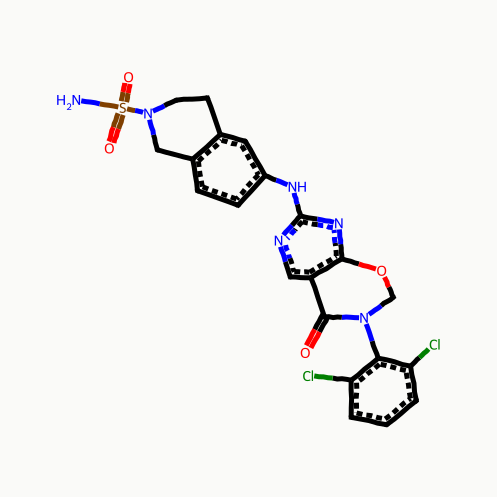 NS(=O)(=O)N1CCc2cc(Nc3ncc4c(n3)OCN(c3c(Cl)cccc3Cl)C4=O)ccc2C1